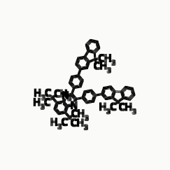 CC(C)(C)c1ccc(C(C)(C)C)c2nc(-c3ccc(-c4ccc5c(c4)C(C)(C)c4ccccc4-5)cc3)c(-c3ccc(-c4ccc5c(c4)C(C)(C)c4ccccc4-5)cc3)nc12